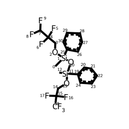 C[Si](OCC(F)(F)C(F)F)(O[Si](C)(OCC(F)(F)C(F)(F)F)c1ccccc1)c1ccccc1